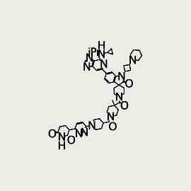 CC(C)n1cnc2cc(-c3ccc4c(c3)N(C3CC(N5CCCCC5)C3)C(=O)C43CCN(C(=O)C4(C)CCN(C(=O)C5CCN(c6ccc(C7CCC(=O)NC7=O)nn6)CC5)CC4)CC3)nc(NC3CC3)c21